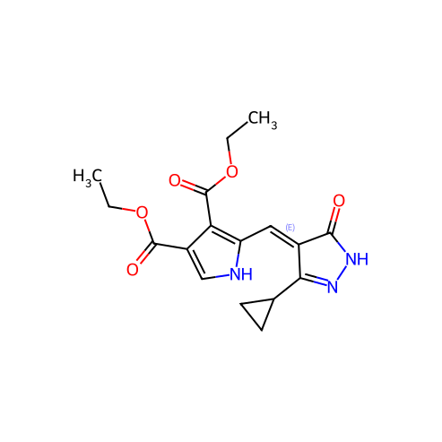 CCOC(=O)c1c[nH]c(/C=C2/C(=O)NN=C2C2CC2)c1C(=O)OCC